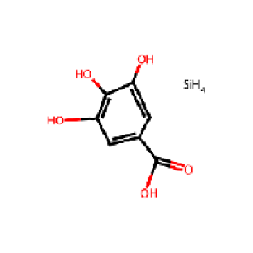 O=C(O)c1cc(O)c(O)c(O)c1.[SiH4]